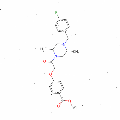 CCCOC(=O)c1ccc(OCC(=O)N2CC(C)N(Cc3ccc(F)cc3)CC2C)cc1